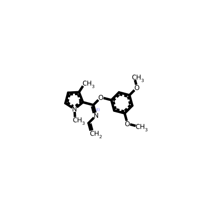 C=C/N=C(/Oc1cc(OC)cc(OC)c1)c1c(C)ccn1C